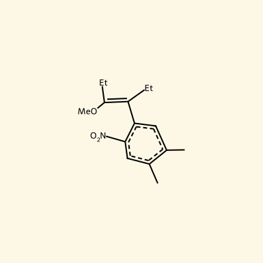 CCC(OC)=C(CC)c1cc(C)c(C)cc1[N+](=O)[O-]